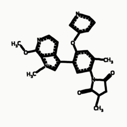 COc1nccc2c(-c3cc(N4C(=O)CC(C)C4=O)c(C)cc3Oc3cccnc3)cn(C)c12